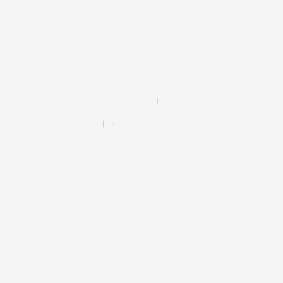 Cc1cc(O)c(O)cc1I